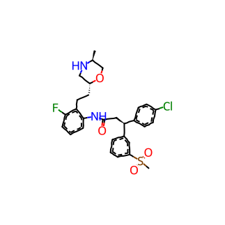 C[C@H]1CO[C@H](CCc2c(F)cccc2NC(=O)C[C@@H](c2ccc(Cl)cc2)c2cccc(S(C)(=O)=O)c2)CN1